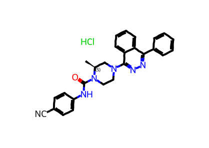 C[C@H]1CN(c2nnc(-c3ccccc3)c3ccccc23)CCN1C(=O)Nc1ccc(C#N)cc1.Cl